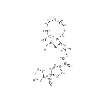 CCn1nc(CC(C)(C)COC(=O)c2ccc(C(=O)N3CCCCC3)cc2)c2c1C(=O)NCCCOCCC2